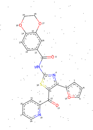 O=C(Nc1nc(-c2ccco2)c(C(=O)c2ccccn2)s1)c1ccc2c(c1)OCCO2